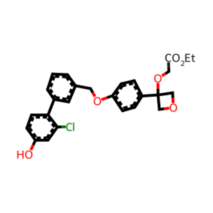 CCOC(=O)COC1(c2ccc(OCc3cccc(-c4ccc(O)cc4Cl)c3)cc2)COC1